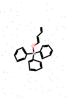 C=CC=CO[Si](c1ccccc1)(c1ccccc1)c1ccccc1